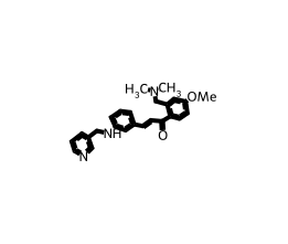 COc1ccc(C(=O)C=Cc2cccc(NCc3cccnc3)c2)c(CN(C)C)c1